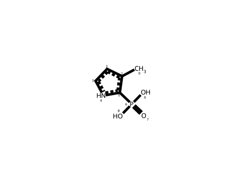 Cc1cc[nH]c1P(=O)(O)O